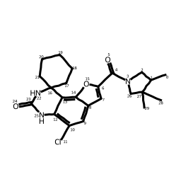 CC1CN(C(=O)c2cc3cc(Cl)c4c(c3o2)C2(CCCCC2)NC(=O)N4)CC1(C)C